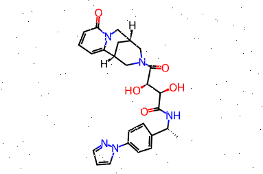 C[C@@H](NC(=O)[C@H](O)[C@@H](O)C(=O)N1C[C@@H]2C[C@H](C1)c1cccc(=O)n1C2)c1ccc(-n2cccn2)cc1